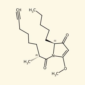 C#CCCCC[C@@H](C)C(=O)N1C(OC)=CC(=O)[C@@H]1CCCCC